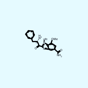 CCCn1c(C(=O)[C@@H](N)Cc2ccccc2)nc2cc(C(N)=O)cc(OC)c21